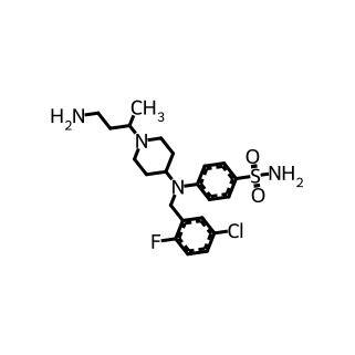 CC(CCN)N1CCC(N(Cc2cc(Cl)ccc2F)c2ccc(S(N)(=O)=O)cc2)CC1